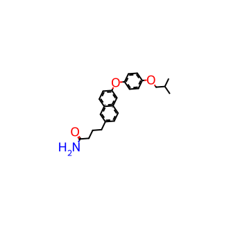 CC(C)COc1ccc(Oc2ccc3cc(CCCC(N)=O)ccc3c2)cc1